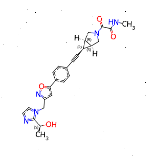 CNC(=O)C(=O)N1C[C@@H]2[C@H](C#Cc3ccc(-c4cc(Cn5ccnc5[C@H](C)O)no4)cc3)[C@@H]2C1